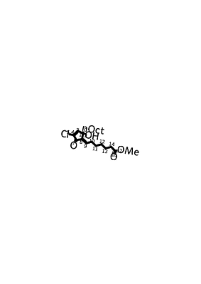 CCCCCCCCC1(O)C=C(Cl)C(=O)C1=CCCCCCC(=O)OC